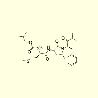 CSCC[C@@H](NC(=O)OCC(C)C)C(=O)N[C@@H]1CC(C)N([C@H](Cc2ccccc2)C(=O)C(C)C)C1=O